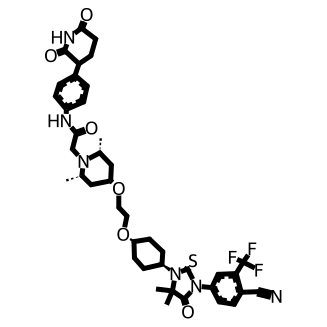 C[C@@H]1CC(OCCO[C@H]2CC[C@H](N3C(=S)N(c4ccc(C#N)c(C(F)(F)F)c4)C(=O)C3(C)C)CC2)C[C@H](C)N1CC(=O)Nc1ccc(C2CCC(=O)NC2=O)cc1